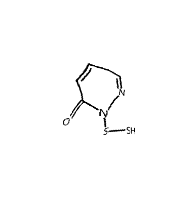 O=c1cccnn1SS